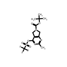 Cc1nc2c(c(OS(=O)(=O)C(F)(F)F)n1)CN(C(=O)OC(C)(C)C)C2